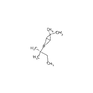 CCC(C)(C)B1C2C1C2(C)C